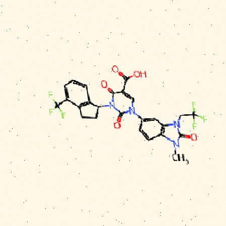 Cn1c(=O)n(CC(F)(F)F)c2cc(-n3cc(C(=O)O)c(=O)n(C4CCc5c4cccc5C(F)(F)F)c3=O)ccc21